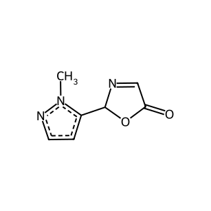 Cn1nccc1C1N=CC(=O)O1